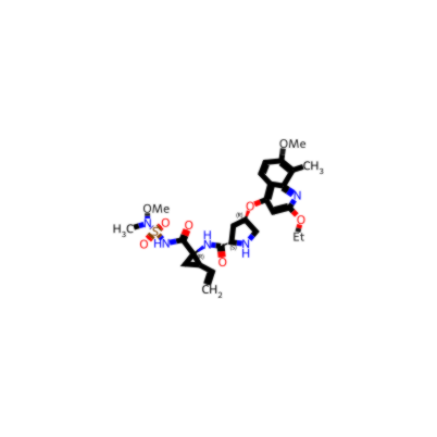 C=CC1C[C@]1(NC(=O)[C@@H]1C[C@@H](Oc2cc(OCC)nc3c(C)c(OC)ccc23)CN1)C(=O)NS(=O)(=O)N(C)OC